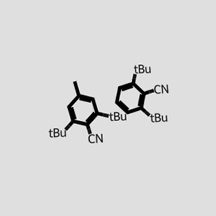 CC(C)(C)c1cccc(C(C)(C)C)c1C#N.Cc1cc(C(C)(C)C)c(C#N)c(C(C)(C)C)c1